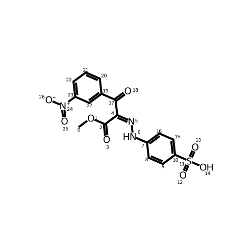 COC(=O)C(=NNc1ccc(S(=O)(=O)O)cc1)C(=O)c1cccc([N+](=O)[O-])c1